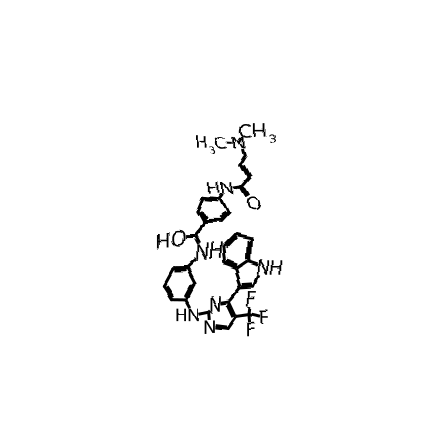 CN(C)C/C=C/C(=O)Nc1ccc(C(O)Nc2cccc(Nc3ncc(C(F)(F)F)c(-c4c[nH]c5ccccc45)n3)c2)cc1